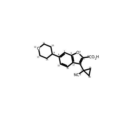 N#CC1(c2c(C(=O)O)oc3cc(C4CCOCC4)ccc23)CC1